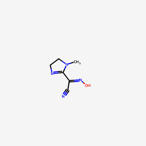 CN1CCN=C1C(C#N)=NO